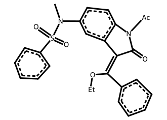 CCOC(=C1C(=O)N(C(C)=O)c2ccc(N(C)S(=O)(=O)c3ccccc3)cc21)c1ccccc1